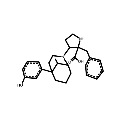 CC1C2CCCC1(c1cccc(O)c1)CCN2C1CCNC1(Cc1ccccc1)C(=O)O